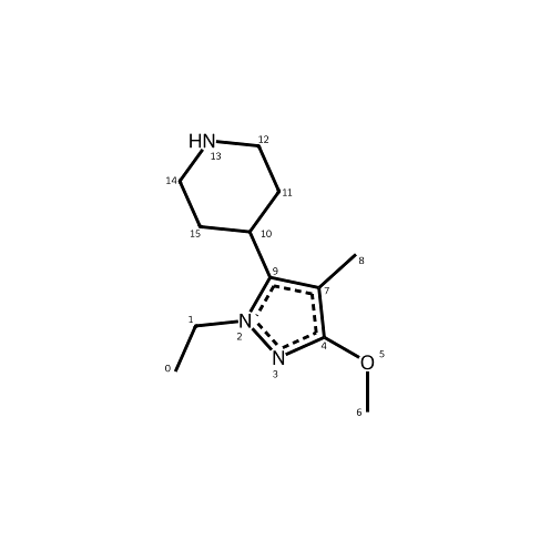 CCn1nc(OC)c(C)c1C1CCNCC1